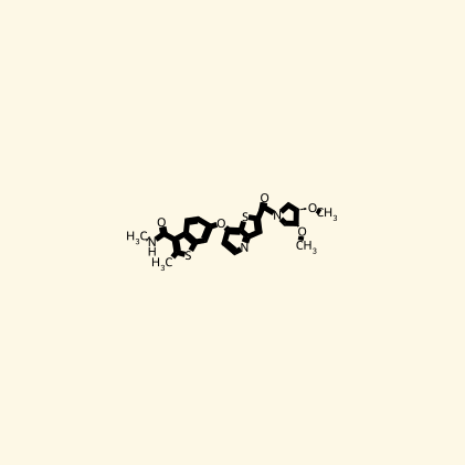 CNC(=O)c1c(C)sc2cc(Oc3ccnc4cc(C(=O)N5C[C@H](OC)[C@H](OC)C5)sc34)ccc12